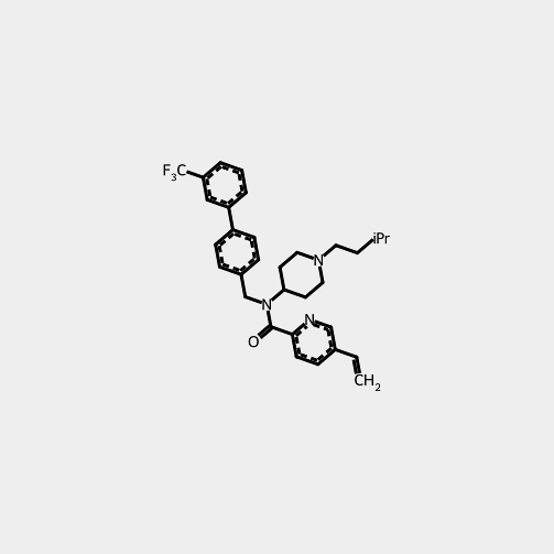 C=Cc1ccc(C(=O)N(Cc2ccc(-c3cccc(C(F)(F)F)c3)cc2)C2CCN(CCC(C)C)CC2)nc1